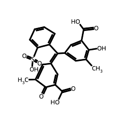 CC1=CC(=C(c2cc(C)c(O)c(C(=O)O)c2)c2ccccc2S(=O)(=O)O)C=C(C(=O)O)C1=O